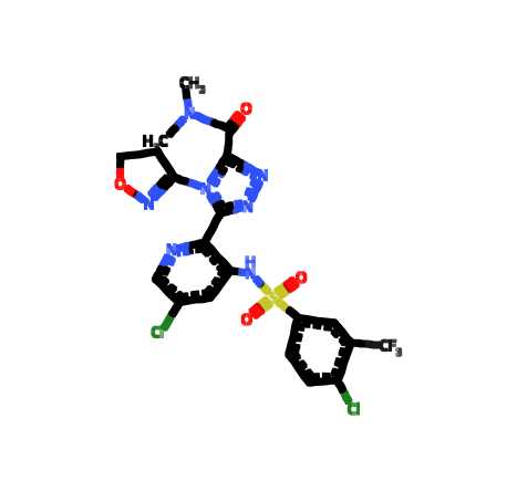 CN(C)C(=O)c1nnc(-c2ncc(Cl)cc2NS(=O)(=O)c2ccc(Cl)c(C(F)(F)F)c2)n1C1=NOCC1